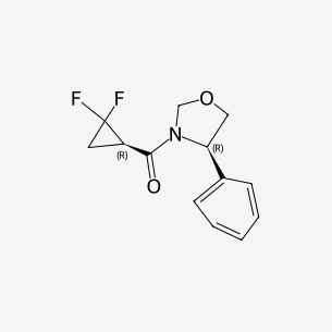 O=C([C@H]1CC1(F)F)N1COC[C@H]1c1ccccc1